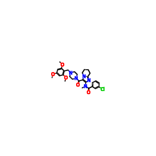 COc1cc(OC)c(CN2CCN(C(=O)c3c(N(C)C(=O)c4cccc(Cl)c4)nc4n3CCCC4)CC2)c(OC)c1